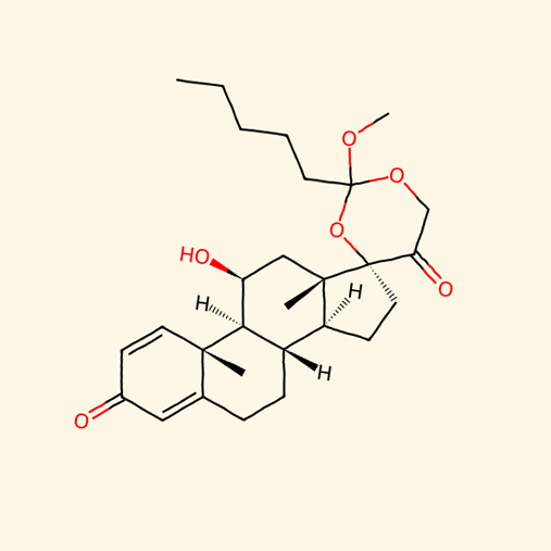 CCCCCC1(OC)OCC(=O)[C@]2(CC[C@H]3[C@@H]4CCC5=CC(=O)C=C[C@]5(C)[C@H]4[C@@H](O)C[C@@]32C)O1